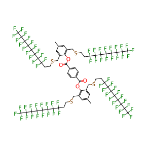 Cc1cc(CSCCC(F)(F)C(F)(F)C(F)(F)C(F)(F)C(F)(F)C(F)(F)C(F)(F)C(F)(F)F)c(OC(=O)c2ccc(C(=O)Oc3c(CSCCC(F)(F)C(F)(F)C(F)(F)C(F)(F)C(F)(F)C(F)(F)C(F)(F)C(F)(F)F)cc(C)cc3CSCCC(F)(F)C(F)(F)C(F)(F)C(F)(F)C(F)(F)C(F)(F)C(F)(F)C(F)(F)F)cc2)c(CSCCC(F)(F)C(F)(F)C(F)(F)C(F)(F)C(F)(F)C(F)(F)C(F)(F)C(F)(F)F)c1